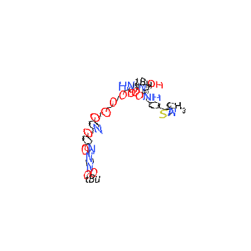 Cc1ncsc1-c1ccc(CNC(=O)[C@@H]2C[C@@H](O)CN2C(=O)[C@@H](NC(=O)COCCOCCOCCOc2ccc(COc3ccc4oc(N5CCN(C(=O)OC(C)(C)C)CC5)nc4c3)nc2)C(C)(C)C)cc1